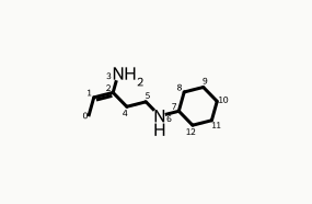 C/C=C(/N)CCNC1CCCCC1